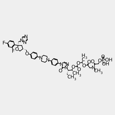 CC[C@@H]([C@H](C)OC(=O)OC(C)OC(=O)CN(C)C(=O)COP(=O)(O)O)n1ncn(-c2ccc(N3CCN(c4ccc(OC[C@@H]5CO[C@@](Cn6cncn6)(c6ccc(F)cc6F)C5)cc4)CC3)cc2)c1=O